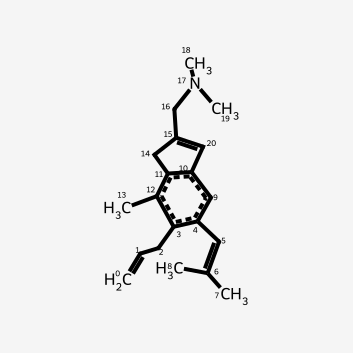 C=CCc1c(C=C(C)C)cc2c(c1C)CC(CN(C)C)=C2